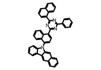 c1ccc(-c2nc(-c3cccc4ccccc34)nc(-c3ccc(-n4c5ccccc5c5cc6ccccc6cc54)c4ccccc34)n2)cc1